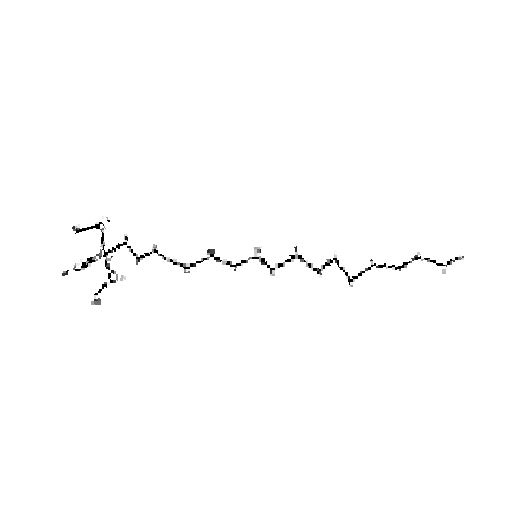 CCCCCCCCCCCCCCCCCP(=O)(OC)OC